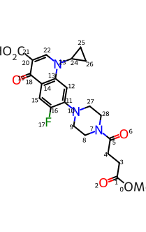 COC(=O)CCC(=O)N1CCN(c2cc3c(cc2F)c(=O)c(C(=O)O)cn3C2CC2)CC1